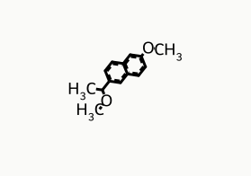 COc1ccc2cc(C(C)OC)ccc2c1